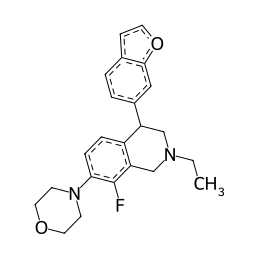 CCN1Cc2c(ccc(N3CCOCC3)c2F)C(c2ccc3ccoc3c2)C1